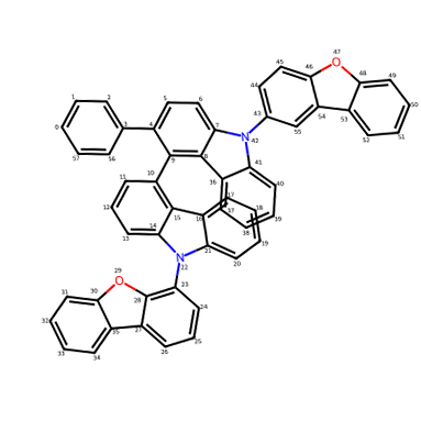 c1ccc(-c2ccc3c(c2-c2cccc4c2c2ccccc2n4-c2cccc4c2oc2ccccc24)c2ccccc2n3-c2ccc3oc4ccccc4c3c2)cc1